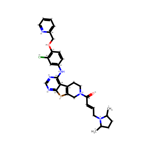 CC1CCC(C)N1CC=CC(=O)N1CCc2c(sc3ncnc(Nc4ccc(OCc5ccccn5)c(Cl)c4)c23)C1